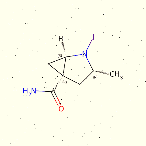 C[C@@H]1C[C@@]2(C(N)=O)C[C@H]2N1I